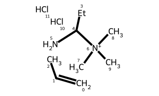 C=CC.CCC(N)[N+](C)(C)C.Cl.Cl